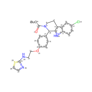 CC(C)COC(=O)N1CCc2c([nH]c3ccc(Cl)cc23)C1c1ccc(OCCNc2nccs2)cc1